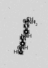 CC(N)C(=O)N1CCN(c2ccc(Nc3nccc(-c4ccc(NC(=O)C5CCCN5)cc4)n3)cc2)CC1